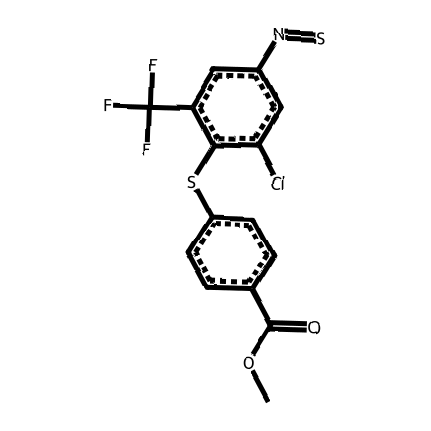 COC(=O)c1ccc(Sc2c(Cl)cc(N=S)cc2C(F)(F)F)cc1